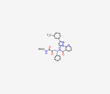 CONC(=O)C(=O)CC(NC(=O)c1cccnc1-n1ccc(-c2cccc(C(F)(F)F)c2)n1)c1ccccc1